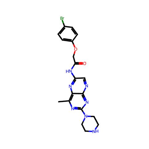 Cc1nc(N2CCNCC2)nc2ncc(NC(=O)COc3ccc(Br)cc3)nc12